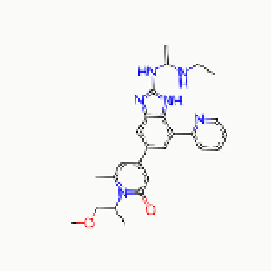 C=C(NCC)Nc1nc2cc(-c3cc(C)n(C(C)COC)c(=O)c3)cc(-c3ccccn3)c2[nH]1